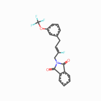 O=C1c2ccccc2C(=O)N1C/C(F)=C/Cc1cccc(OC(F)(F)F)c1